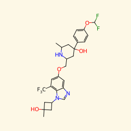 CC1CC(O)(c2ccc(OC(F)F)cc2)CC(COc2cc(C(F)(F)F)c3c(c2)ncn3C2CC(C)(O)C2)N1